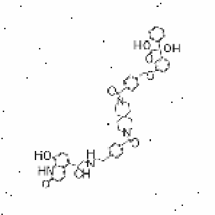 O=C(c1ccc(CCNCC(O)c2ccc(O)c3[nH]c(=O)ccc23)cc1)N1CCC2(CC1)CCN(C(=O)c1ccc(COc3cccc(C(O)(C(=O)O)c4ccccc4)c3)cc1)CC2